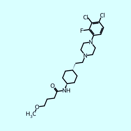 COCCCC(=O)N[C@H]1CC[C@H](CCN2CCN(c3ccc(Cl)c(Cl)c3F)CC2)CC1